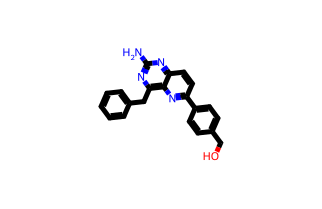 Nc1nc(Cc2ccccc2)c2nc(-c3ccc(CO)cc3)ccc2n1